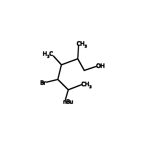 CCCCC(C)C(Br)C(C)C(C)CO